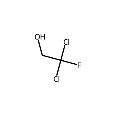 OCC(F)(Cl)Cl